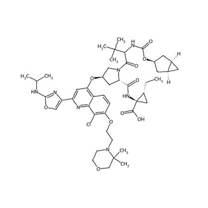 CC[C@@H]1C[C@]1(NC(=O)[C@@H]1C[C@@H](Oc2cc(-c3coc(NC(C)C)n3)nc3c(Cl)c(OCCN4CCOCC4(C)C)ccc23)CN1C(=O)C(NC(=O)O[C@@H]1C[C@@H]2C[C@@H]2C1)C(C)(C)C)C(=O)O